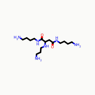 NCCCCNC(=O)CC(NCCCN)C(=O)NCCCCN